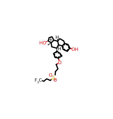 C[C@]12C[C@H](c3ccc(OCCCCS(=O)(=O)CCCC(F)(F)F)cc3)[C@@H]3c4ccc(O)cc4CC[C@H]3[C@@H]1CC[C@@H]2O